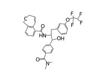 CN(C)C(=O)c1ccc(C(O)C(Cc2cccc(OC(F)(F)C(F)F)c2)NC(=O)c2cccc3c2C=CCCC3)cc1